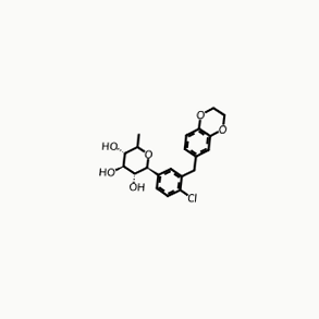 CC1O[C@@H](c2ccc(Cl)c(Cc3ccc4c(c3)OCCO4)c2)[C@H](O)[C@@H](O)[C@@H]1O